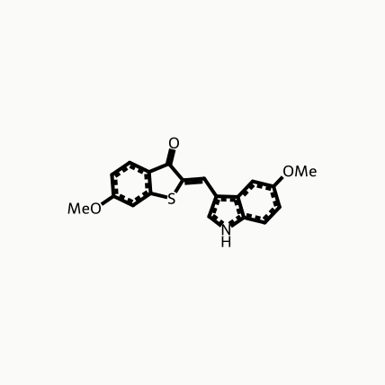 COc1ccc2c(c1)SC(=Cc1c[nH]c3ccc(OC)cc13)C2=O